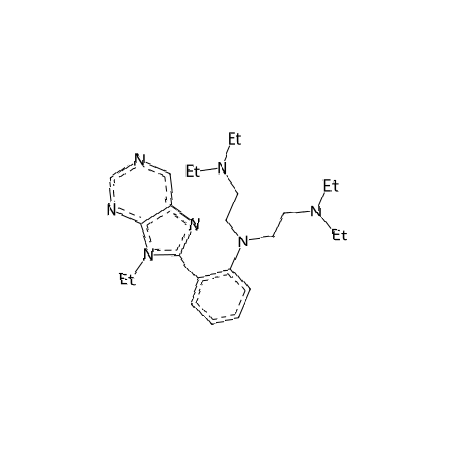 CCN(CC)CCN(CCN(CC)CC)c1ccccc1-c1nc2cncnc2n1CC